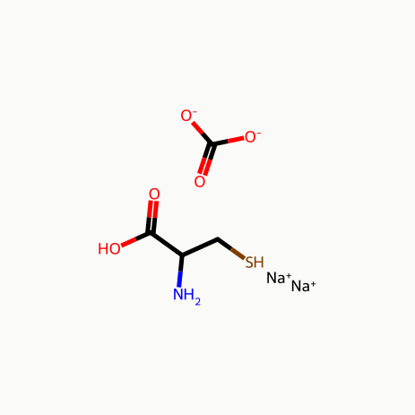 NC(CS)C(=O)O.O=C([O-])[O-].[Na+].[Na+]